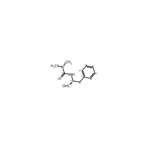 CN(C)C(=O)N[C@H]([C]=O)Cc1ccccc1